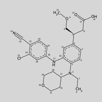 CCN(c1ccc([C@@H](COC)CC(=O)O)cc1Nc1ccc(C#N)c(Cl)c1)C1CCOCC1